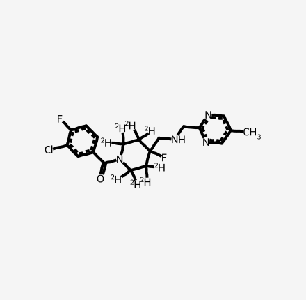 [2H]C1([2H])N(C(=O)c2ccc(F)c(Cl)c2)C([2H])([2H])C([2H])([2H])C(F)(CNCc2ncc(C)cn2)C1([2H])[2H]